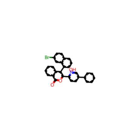 O=c1oc(-c2ccc(-c3ccccc3)cn2)c(-c2c(O)ccc3ccc(Br)cc23)c2ccccc12